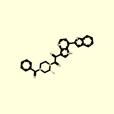 C[C@@H]1CN(C(=O)c2ccccc2)CCN1C(=O)C(=O)c1c[nH]c2c(-c3cc4ccccc4s3)ccnc12